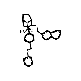 O=C(O)N1C2CCC1C(OCc1ccc3ccccc3c1)C(c1ccc(CSc3ccccc3)cc1)C2